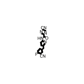 N#Cc1cnc(C(=O)Nc2ccc(Cc3ccc(F)c(C#N)c3)cn2)cn1